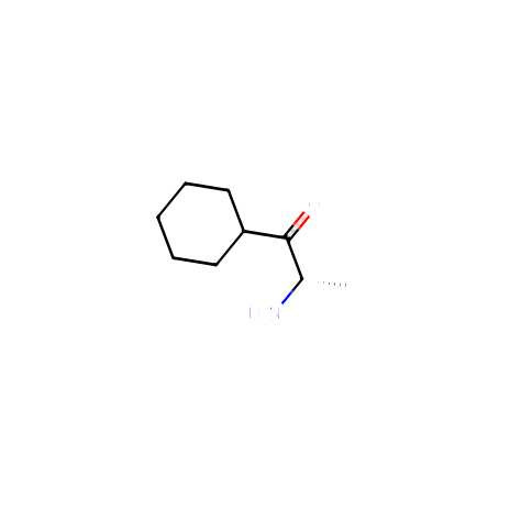 [CH2][C@H](N)C(=O)C1CCCCC1